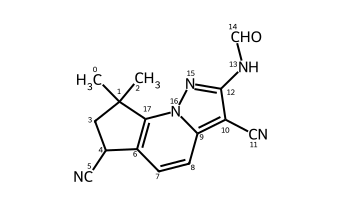 CC1(C)CC(C#N)c2ccc3c(C#N)c(NC=O)nn3c21